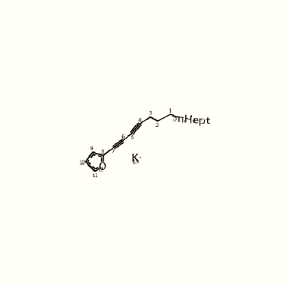 CCCCCCCCCCC#CC#Cc1ccco1.[K]